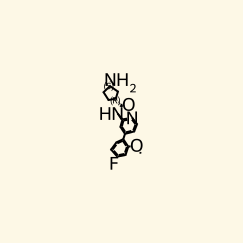 COc1cc(F)ccc1-c1ccnc(NC(=O)[C@@H]2CC[C@H](N)C2)c1